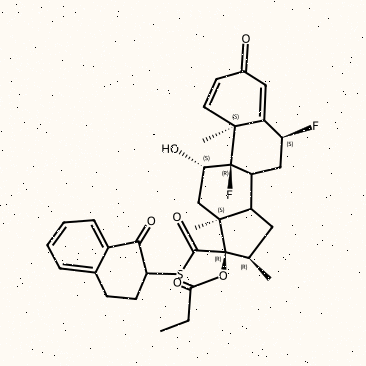 CCC(=O)O[C@]1(C(=O)SC2CCc3ccccc3C2=O)[C@H](C)CC2C3C[C@H](F)C4=CC(=O)C=C[C@]4(C)[C@@]3(F)[C@@H](O)C[C@@]21C